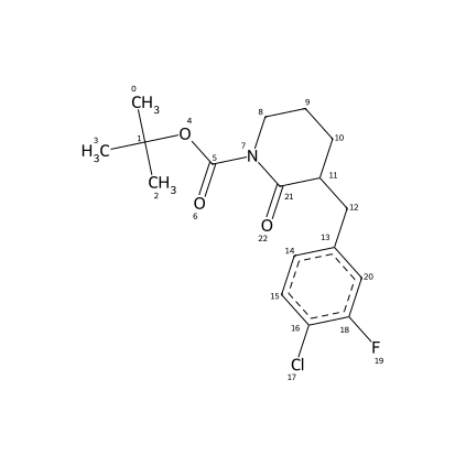 CC(C)(C)OC(=O)N1CCCC(Cc2ccc(Cl)c(F)c2)C1=O